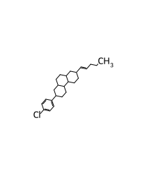 CCC/C=C/C1CCC2C(CCC3CC(c4ccc(Cl)cc4)CCC32)C1